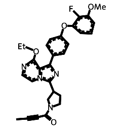 CC#CC(=O)N1CCC(c2nc(-c3ccc(Oc4cccc(OC)c4F)cc3)c3c(OCC)nccn23)C1